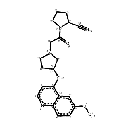 COc1ccc2nccc(O[C@H]3CCN(CC(=O)N4CCCC4C#N)C3)c2c1